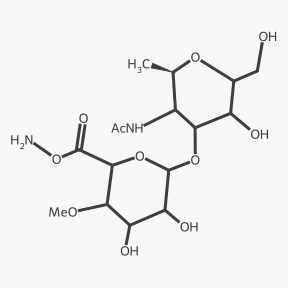 COC1C(C(=O)ON)OC(OC2C(O)C(CO)O[C@H](C)C2NC(C)=O)C(O)C1O